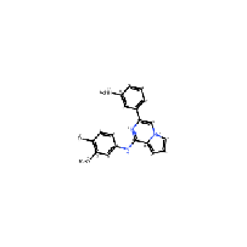 CCc1ccc(Nc2nc(-c3cccc(NC(C)=O)c3)cn3cccc23)cc1OC